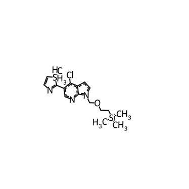 C[SH]1C=CN=C1c1cnc2c(ccn2COCC[Si](C)(C)C)c1Cl